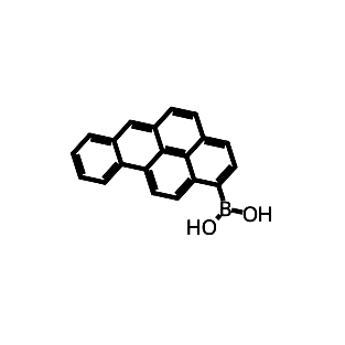 OB(O)c1ccc2ccc3cc4ccccc4c4ccc1c2c34